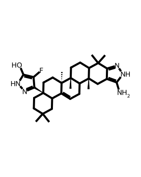 CC1(C)CC[C@]2(c3n[nH]c(O)c3F)CC[C@]3(C)C(=CCC4[C@@]5(C)Cc6c(n[nH]c6N)C(C)(C)C5CC[C@]43C)C2C1